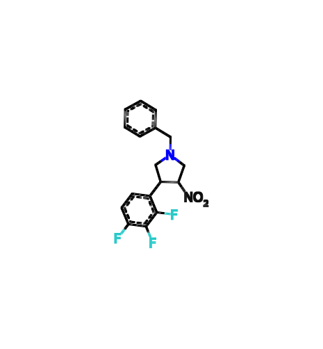 O=[N+]([O-])C1CN(Cc2ccccc2)CC1c1ccc(F)c(F)c1F